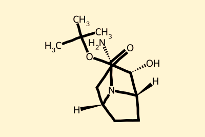 CC(C)(C)OC(=O)N1[C@@H]2CC[C@H]1[C@@H](O)[C@@H](N)C2